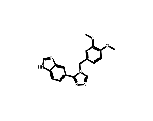 COc1ccc(Cn2cnnc2-c2ccc3[nH]cnc3c2)cc1OC